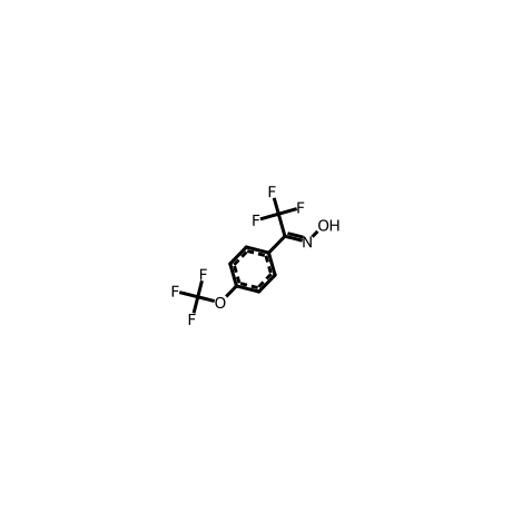 O/N=C(/c1ccc(OC(F)(F)F)cc1)C(F)(F)F